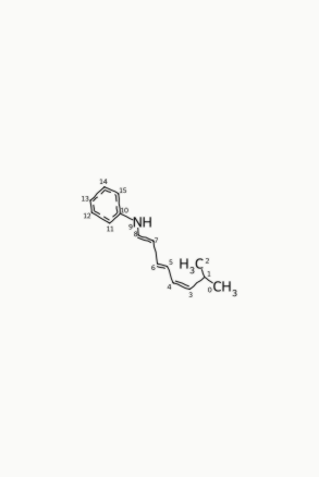 CC(C)\C=C/C=C/C=C/Nc1ccccc1